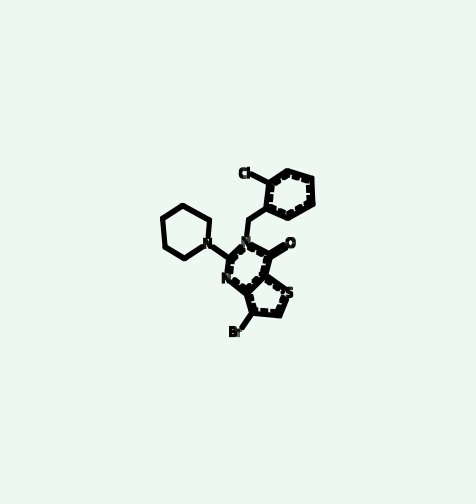 O=c1c2scc(Br)c2nc(N2CCCCC2)n1Cc1ccccc1Cl